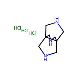 C1NCC23CNCC12CNC3.Cl.Cl.Cl